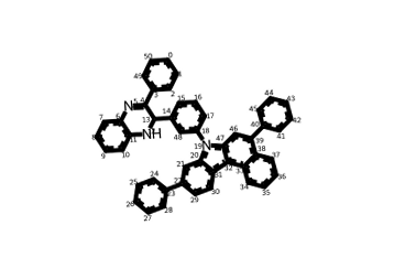 c1ccc(C2=Nc3ccccc3NC2c2cccc(-n3c4cc(-c5ccccc5)ccc4c4c5ccccc5c(-c5ccccc5)cc43)c2)cc1